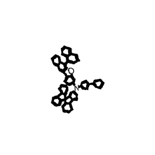 c1ccc(-c2ccc(N(c3ccc4c(c3)C3(c5ccccc5-c5ccccc53)c3ccccc3-4)c3ccc4c(c3)oc3c(-c5cccc6ccccc56)c5ccccc5cc34)cc2)cc1